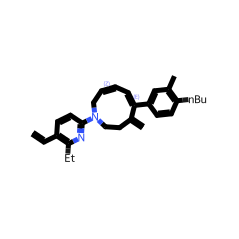 C=Cc1ccc(N2C/C=C\C=C(\c3ccc(CCCC)c(C)c3)C(=C)CC2)nc1CC